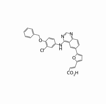 O=C(O)C=Cc1ccc(-c2ccc3ncnc(Nc4ccc(OCc5ccccc5)c(Cl)c4)c3c2)o1